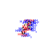 N=C(N)NCC1OC(OC2C(CSCCOCCS)OC(OC3C(O)C(NC(=N)N)CC(NC(=N)N)C3OC3OC(CNC(=N)N)C(O)C(O)C3NC(=N)N)C2O)C(NC(=N)N)C(O)C1O